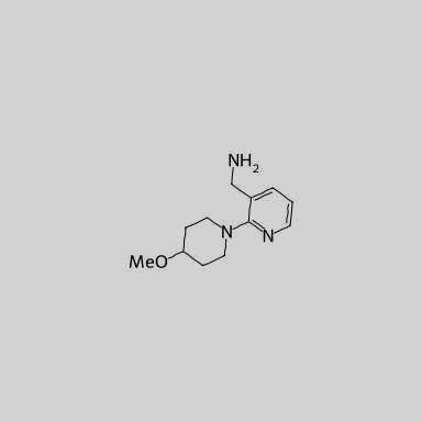 COC1CCN(c2ncccc2CN)CC1